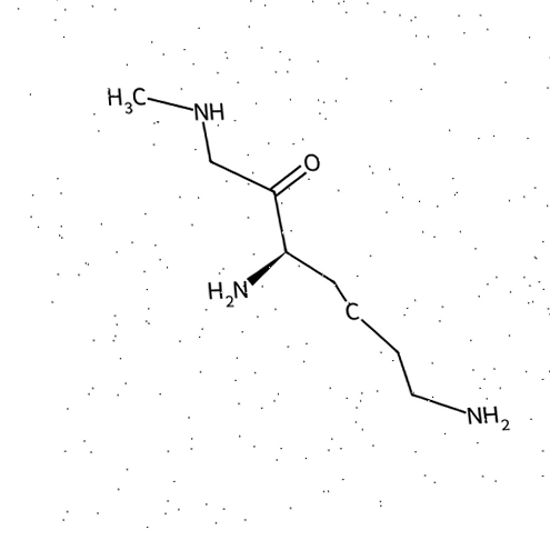 CNCC(=O)[C@H](N)CCCCN